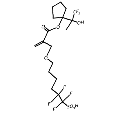 C=C(COCCCCC(F)(F)C(F)(F)S(=O)(=O)O)C(=O)OC1(C(C)(O)C(F)(F)F)CCCC1